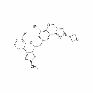 CC(C)c1cc(CC2Oc3c(cccc3C(C)C)-c3nn(C)cc32)cc2c1OCc1cn(C3COC3)nc1-2